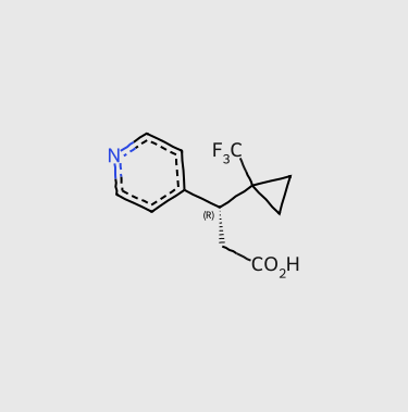 O=C(O)C[C@H](c1ccncc1)C1(C(F)(F)F)CC1